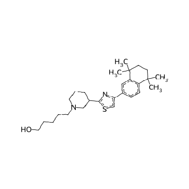 CC1(C)CCC(C)(C)c2cc(-c3csc(C4CCCN(CCCCCO)C4)n3)ccc21